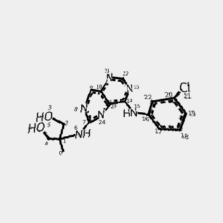 CC(CO)(CO)Nc1ncc2ncnc(Nc3cccc(Cl)c3)c2n1